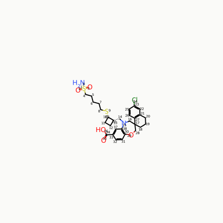 NS(=O)(=O)CCCCCS[C@H]1CC[C@H]1CN1CC2(CCCc3cc(Cl)ccc32)COc2ccc(C(=O)O)cc21